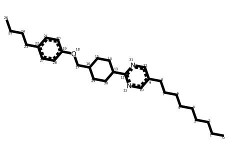 CCCCCCCCCc1cnc(C2CCC(COc3ccc(CCCC)cc3)CC2)nc1